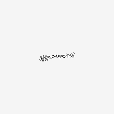 COC(=O)N[C@H](C(=O)N1CCC[C@H]1c1ncc(-c2ccc(-c3ccc(NC(=O)c4ccc(N5CCN(C(=O)[C@]6(C)CCCN6C(C)=O)C[C@H]5C)nc4)cc3C)cc2)[nH]1)C(C)C